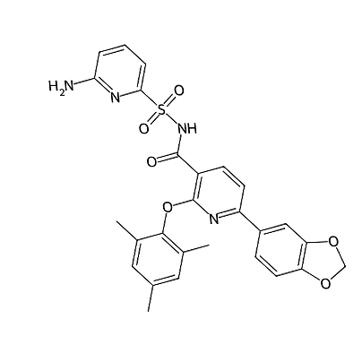 Cc1cc(C)c(Oc2nc(-c3ccc4c(c3)OCO4)ccc2C(=O)NS(=O)(=O)c2cccc(N)n2)c(C)c1